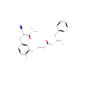 COc1ccc(CC(C#N)C(=O)N(C)C)cc1OCCC(=O)N[C@@H](Cc1ccccc1)B(O)O